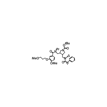 COCCCOc1cc(C(=O)N(CC2CN(C(=O)OC(C)(C)C)CC2CN(C(=O)N(C)c2ccccc2)C2CC2)C(C)C)ccc1OC